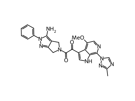 COc1cnc(-n2cnc(C)n2)c2[nH]cc(C(=O)C(=O)N3Cc4nn(-c5ccccc5)c(N)c4C3)c12